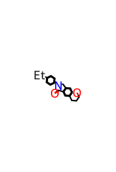 CCc1ccc(N2Cc3cc4c(cc3C2=O)CCCO4)cc1